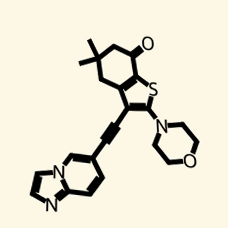 CC1(C)CC(=O)c2sc(N3CCOCC3)c(C#Cc3ccc4nccn4c3)c2C1